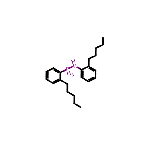 CCCCCc1ccccc1P[PH3]c1ccccc1CCCCC